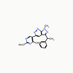 COc1ncc(-c2cc3c(C(C)c4ccccc4)nn(C)c3nn2)c(OC)n1